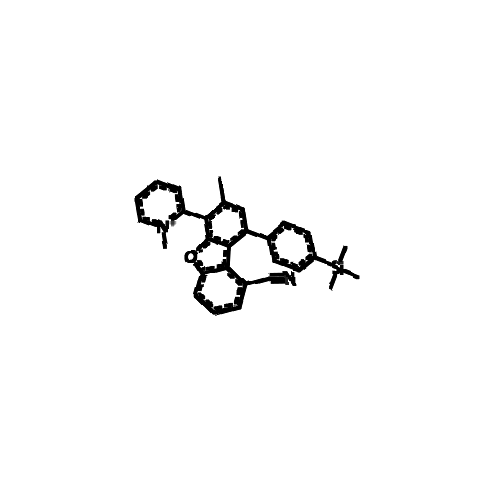 Cc1cc(-c2ccc([Si](C)(C)C)cc2)c2c(oc3cccc(C#N)c32)c1-c1cccc[n+]1C